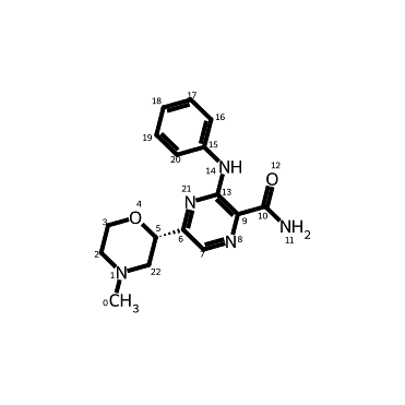 CN1CCO[C@H](c2cnc(C(N)=O)c(Nc3ccccc3)n2)C1